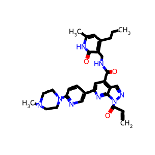 C=CC(=O)n1ncc2c(C(=O)NCc3c(CCC)cc(C)[nH]c3=O)cc(-c3ccc(N4CCN(C)CC4)nc3)nc21